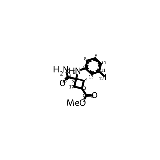 COC(=O)C1CC(Nc2cccc(I)c2)(C(N)=O)C1